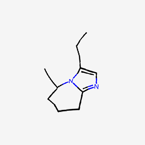 CCc1cnc2n1C(C)CCC2